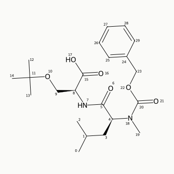 CC(C)C[C@@H](C(=O)N[C@@H](COC(C)(C)C)C(=O)O)N(C)C(=O)OCc1ccccc1